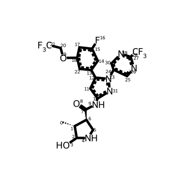 C[C@H]1C(O)NC[C@@H]1C(=O)Nc1cc(-c2cc(F)cc(OCC(F)(F)F)c2)n(-c2cnc(C(F)(F)F)nc2)n1